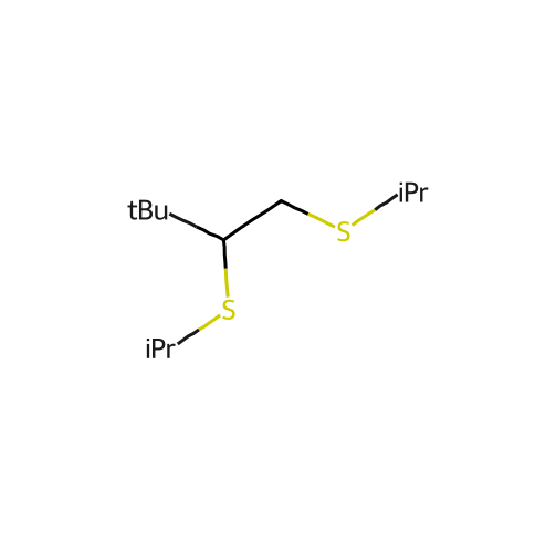 CC(C)SCC(SC(C)C)C(C)(C)C